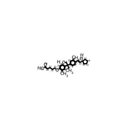 CCC(CC)(c1ccc(C=CC2(O)CCCC2)c(C)c1)c1ccc(OCCCCC(=O)O)c(C)c1